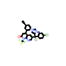 C#Cc1cccc(-c2cc(=O)n(C(F)(F)F)c3ncc([C@](Cl)(c4ccc(Cl)cc4)c4cncn4C)cc23)c1